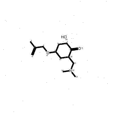 C=C(C)COC1CCC(=O)C(CN(C)C)C1.Cl